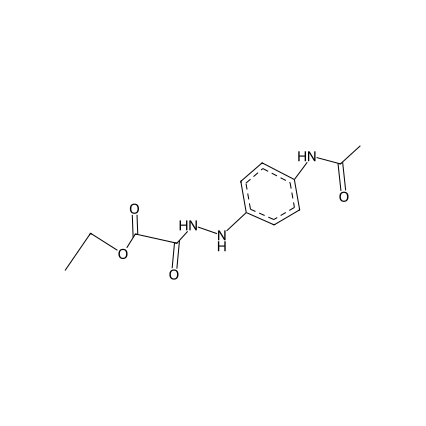 CCOC(=O)C(=O)NNc1ccc(NC(C)=O)cc1